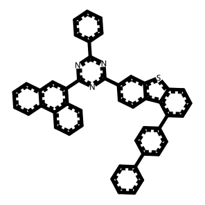 c1ccc(-c2ccc(-c3cccc4sc5cc(-c6nc(-c7ccccc7)nc(-c7cc8ccccc8c8ccccc78)n6)ccc5c34)cc2)cc1